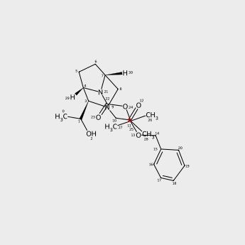 CC(O)[C@H]1[C@@H]2CC[C@H](CN1CC(=O)OCc1ccccc1)N2C(=O)OC(C)(C)C